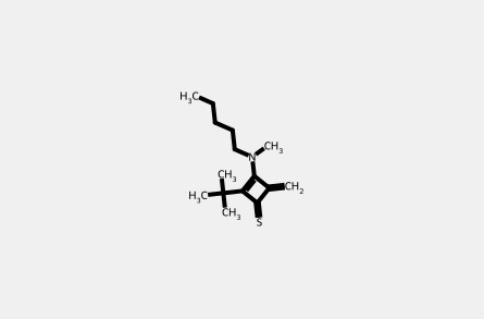 C=C1C(=S)C(C(C)(C)C)=C1N(C)CCCCC